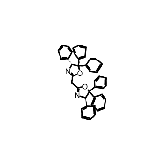 c1ccc([C@H]2N=C(CC3=N[C@H](c4ccccc4)C(c4ccccc4)(c4ccccc4)O3)OC2(c2ccccc2)c2ccccc2)cc1